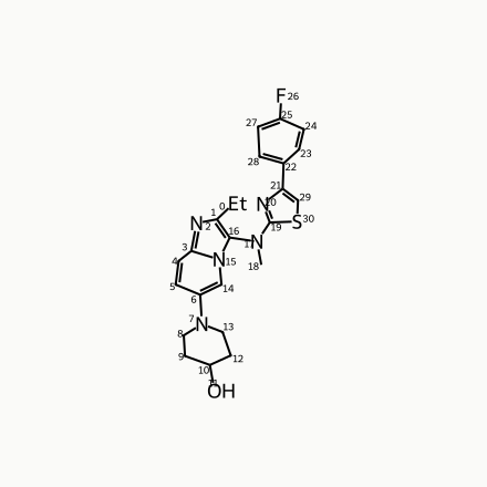 CCc1nc2ccc(N3CCC(O)CC3)cn2c1N(C)c1nc(-c2ccc(F)cc2)cs1